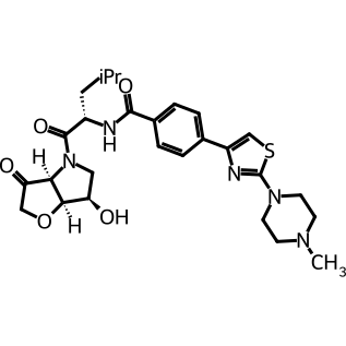 CC(C)C[C@H](NC(=O)c1ccc(-c2csc(N3CCN(C)CC3)n2)cc1)C(=O)N1C[C@@H](O)[C@H]2OCC(=O)[C@H]21